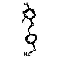 COc1ccc(COc2ccc(Cl)nc2I)cc1